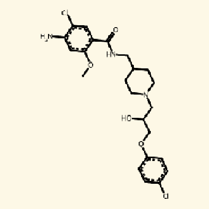 COc1cc(N)c(Cl)cc1C(=O)NCC1CCN(CC(O)COc2ccc(Cl)cc2)CC1